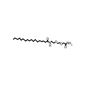 CCCCCCCCCCCCCCCCCC(=O)NCCOCCOCC(N)=O